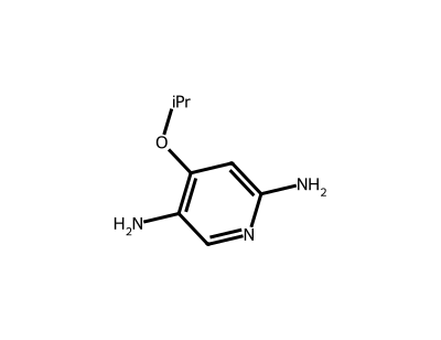 CC(C)Oc1cc(N)ncc1N